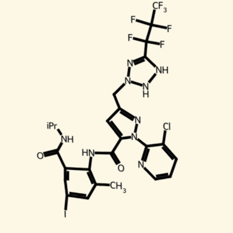 Cc1cc(I)cc(C(=O)NC(C)C)c1NC(=O)c1cc(CN2N=C(C(F)(F)C(F)(F)C(F)(F)F)NN2)nn1-c1ncccc1Cl